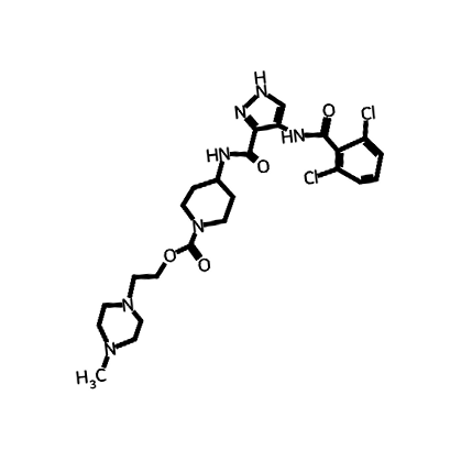 CN1CCN(CCOC(=O)N2CCC(NC(=O)c3n[nH]cc3NC(=O)c3c(Cl)cccc3Cl)CC2)CC1